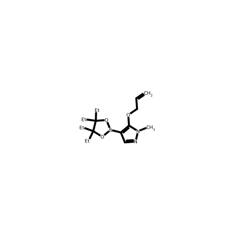 C=CCOc1c(B2OC(CC)(CC)C(CC)(CC)O2)cnn1C